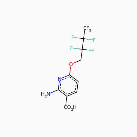 Nc1nc(OCC(F)(F)C(F)(F)C(F)(F)F)ccc1C(=O)O